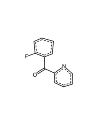 O=C(c1ccccn1)c1ccccc1F